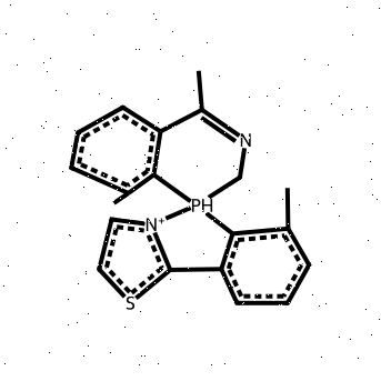 CC1=NC[PH]2(c3c(C)cccc31)c1c(C)cccc1-c1scc[n+]12